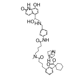 CN(CCCCC(=O)Nc1ccc(CNCC(O)c2ccc(O)c3[nH]c(=O)ccc23)cc1)C(=O)CCCc1cccc(C2(C(=O)O[C@H]3CN4CCC3CC4)CCCCC2)c1